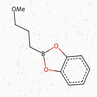 COCCCB1Oc2ccccc2O1